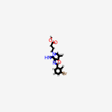 COC(=O)CCCn1cc(C)c2oc(-c3cccc(Br)c3C)nc2c1=N